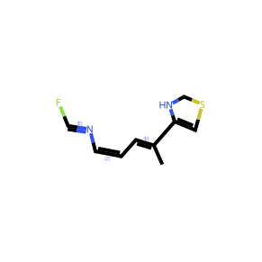 C\C(=C/C=C\N=C\F)C1=CSCN1